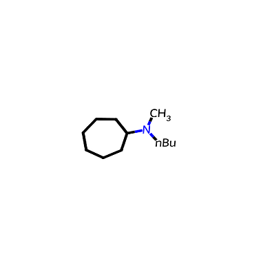 CCCCN(C)C1CCCCCC1